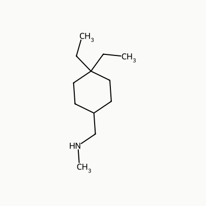 CCC1(CC)CCC(CNC)CC1